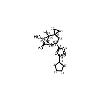 O=C1N(O)[C@H]2CN1[C@H](c1nnc(C3CCCC3)o1)CC21CC1